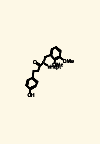 CCCCCCCN(Cc1cccc(OC)c1OC)C(=O)CCc1ccc(O)cc1